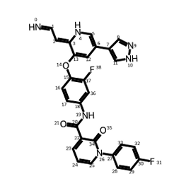 N=C/C=C1\NC=C(c2cn[nH]c2)C=C1Oc1ccc(NC(=O)c2cccn(-c3ccc(F)cc3)c2=O)cc1F